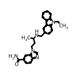 CCn1c2ccccc2c2cc(CNC(C)CCn3cnc4ccc(C(N)=O)cc43)ccc21